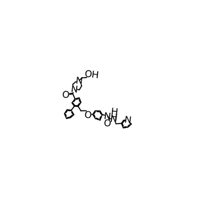 O=C(NCc1cccnc1)Nc1ccc(OCCc2ccc(C(=O)N3CCN(CCO)CC3)cc2-c2ccccc2)cc1